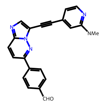 CNc1cc(C#Cc2cnc3ccc(-c4ccc(C=O)cc4)nn23)ccn1